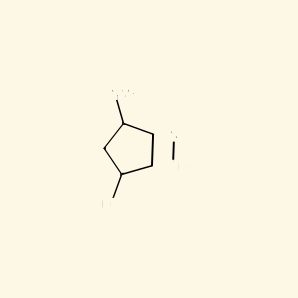 CCC1CCC(NC)C1.NC=O